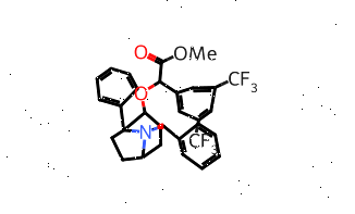 COC(=O)C(OC1CCC2CCC1(c1ccccc1)N2Cc1ccccc1)c1cc(C(F)(F)F)cc(C(F)(F)F)c1